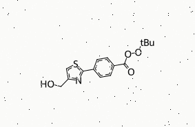 CC(C)(C)OOC(=O)c1ccc(-c2nc(CO)cs2)cc1